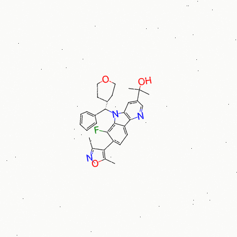 Cc1noc(C)c1-c1ccc2c3ncc(C(C)(C)O)cc3n([C@H](c3ccccc3)C3CCOCC3)c2c1F